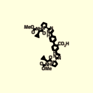 COC(=O)N[C@H](C(=O)N1CCC[C@H]1c1ncc(-c2ccc(-c3ccc(-c4cnc([C@@H]5CCCN5C(=O)[C@@H](NC(=O)OC)C5CC5)[nH]4)cc3C(=O)O)cc2)[nH]1)C1CC1